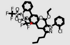 CCCCc1nn(-c2ccccc2Cl)c(C(=O)OCC)c1Cc1ccc(-c2ccccc2N(S(=O)(=O)C(F)(F)F)S(=O)(=O)C(F)(F)F)cc1